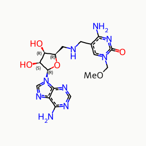 COCn1cc(CNC[C@H]2O[C@@H](n3cnc4c(N)ncnc43)[C@@H](O)[C@H]2O)c(N)nc1=O